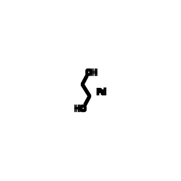 OCCO.[Pd]